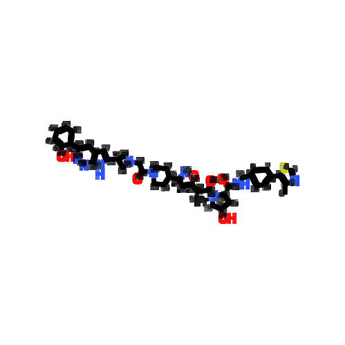 Cc1ncsc1-c1ccc(CNC(=O)[C@@H]2C[C@@H](O)CN2C(=O)[C@@H](c2cc(C3CCN(C(=O)CN4CC(c5cc6cc(-c7ccccc7O)nnc6[nH]5)C4)CC3)no2)C(C)C)cc1